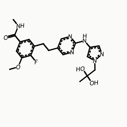 CNC(=O)c1cc(CCc2cnc(Nc3cnn(CC(C)(O)O)c3)nc2)c(F)c(OC)c1